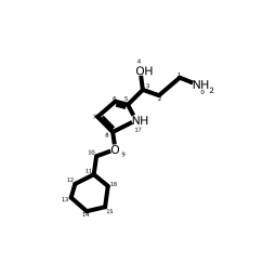 NCCC(O)c1ccc(OCC2CCCCC2)[nH]1